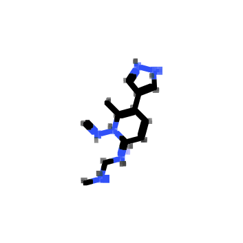 C=Nn1c(C)c(-c2cn[nH]c2)cc/c1=N/CNC